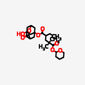 CCC(CC(C)(C)C(=O)OC1CCCCO1)C(=O)OC12CC3CC(O)(CC(C1)C(=O)O3)C2